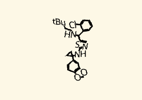 CC(C)(C)CCNC(c1cnc(NC2(c3ccc4c(c3)OCO4)CC2)s1)c1ccccc1Cl